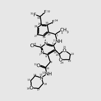 CC(Nc1nc(Cl)nc(CC(=O)NN2CCOCC2)c1C1OCCO1)c1cccc(C(F)F)c1F